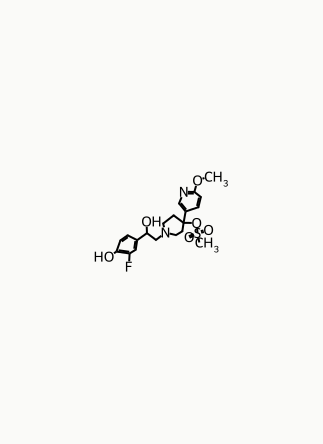 COc1ccc(C2(OS(C)(=O)=O)CCN(CC(O)c3ccc(O)c(F)c3)CC2)cn1